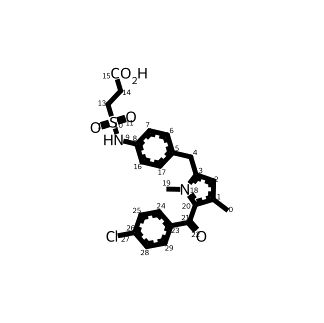 Cc1cc(Cc2ccc(NS(=O)(=O)CCC(=O)O)cc2)n(C)c1C(=O)c1ccc(Cl)cc1